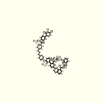 Cc1c(OC2CCC(CCCN3CCN(c4nc5cc(C6CCC(=O)NC6=O)ccc5n4C)CC3)CC2)cccc1-c1ccc(N2CCc3cccc(C(=O)Nc4nc5ccccc5s4)c3C2)nc1C(=O)OC(C)(C)C